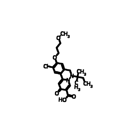 CCC(C)(C)N1Cc2cc(OCCCOC)c(Cl)cc2-c2cc(=O)c(C(=O)O)cn21